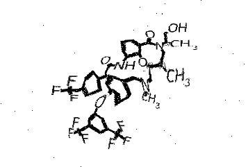 C[C@@H]1CN([C@@H](C)CO)C(=O)c2cccc(NC(=O)Cc3ccc(C(F)(F)F)cc3)c2O[C@@H]1CN(C)Cc1ccc(Oc2cc(C(F)(F)F)cc(C(F)(F)F)c2)cc1